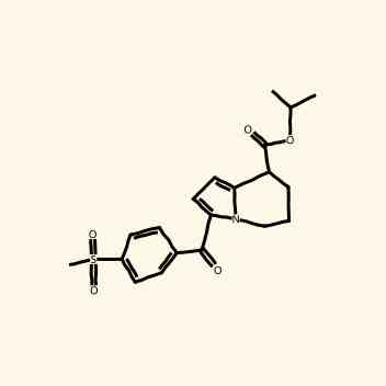 CC(C)OC(=O)C1CCCn2c(C(=O)c3ccc(S(C)(=O)=O)cc3)ccc21